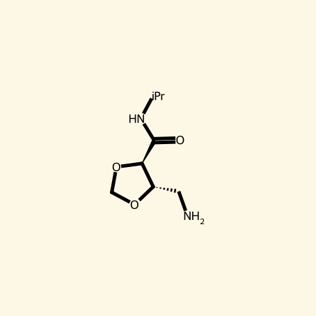 CC(C)NC(=O)[C@@H]1OCO[C@H]1CN